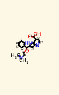 CN(C)CCOC(c1ccccc1)c1cc2nccc(C(=O)O)c2[nH]1